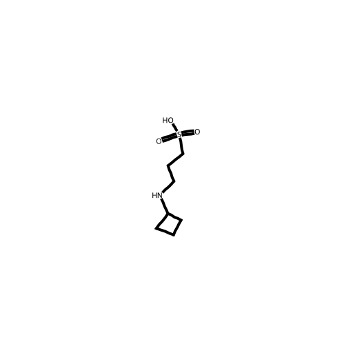 O=S(=O)(O)CCCNC1CCC1